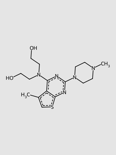 Cc1csc2nc(N3CCN(C)CC3)nc(N(CCO)CCO)c12